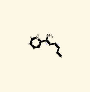 C=C/C=C\C=C(/N)c1ccccn1